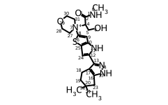 CNC(=O)C(CO)[N+]1(c2cc3[nH]c(-c4n[nH]c5c4CCC(C)(C)C5)cc3s2)CCOCC1